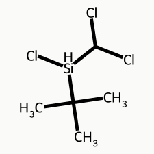 CC(C)(C)[SiH](Cl)C(Cl)Cl